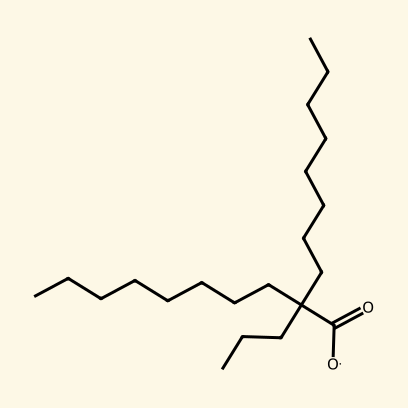 CCCCCCCCC(CCC)(CCCCCCCC)C([O])=O